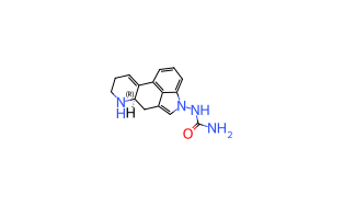 NC(=O)Nn1cc2c3c(cccc31)C1=CCCN[C@@H]1C2